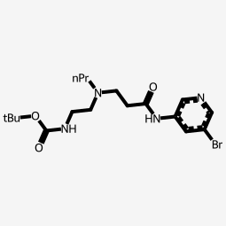 CCCN(CCNC(=O)OC(C)(C)C)CCC(=O)Nc1cncc(Br)c1